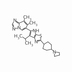 Cc1c(-c2[nH]c3sc(C4CCC(N5CCC5)CC4)nc3c2C(C)C)cn2ncnc2c1C